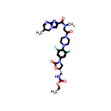 CCOC(=O)NC[C@H]1CN(c2cc(F)c(N3CCN(C(=O)CN(C)C(=O)c4cn5c(n4)N=CC(C)C5)CC3)c(F)c2)C(=O)O1